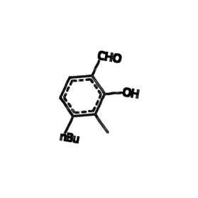 CCCCc1ccc(C=O)c(O)c1C